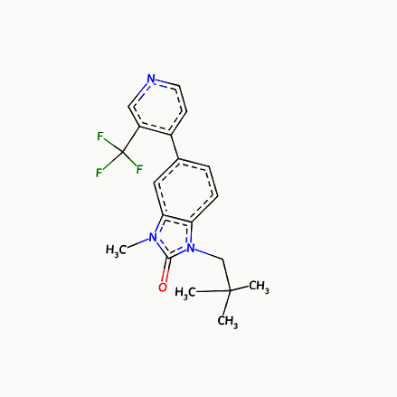 Cn1c(=O)n(CC(C)(C)C)c2ccc(-c3ccncc3C(F)(F)F)cc21